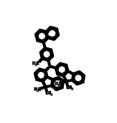 Cc1cc(-c2cccc3ccccc23)ccc1N(c1ccc2c(c1)C(C)(C)c1ccccc1-2)c1cccc2c1-c1ccccc1C2(C)C